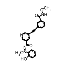 CONC(=O)c1cccc(C#Cc2cncc(C(=O)N=S(C)c3ccccc3O)c2)c1